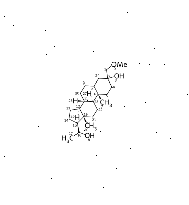 COCC1(O)CC[C@@]2(C)C(CC[C@H]3[C@@H]4CC[C@H](C(C)O)[C@@]4(C)CC[C@@H]32)C1